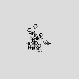 CCNC(=O)[C@H]1O[C@@H](n2cnc3c(NCC(c4ccccc4)c4ccccc4)nc(C(=O)NCC4CCNCC4)nc32)[C@H](O)[C@@H]1O